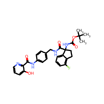 CC(C)(C)OC(=O)NC1(C(=O)NCc2ccc(NC(=O)c3ncccc3O)cc2)CCc2c(F)cccc21